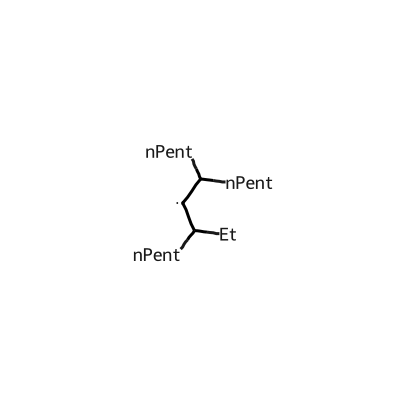 CCCCCC([CH]C(CCCCC)CCCCC)CC